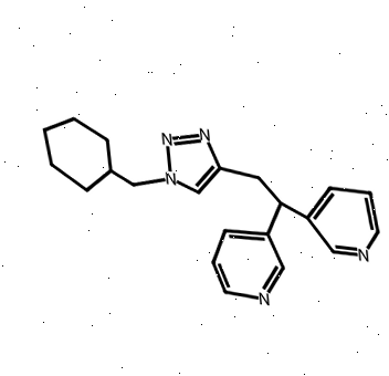 c1cncc(C(Cc2cn(CC3CCCCC3)nn2)c2cccnc2)c1